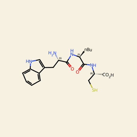 CCCC[C@H](NC(=O)[C@@H](N)Cc1c[nH]c2ccccc12)C(=O)N[C@@H](CS)C(=O)O